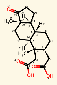 C[C@]1(CC(=O)O)[C@H](CC(=O)O)CC[C@@H]2[C@@H]1CC[C@]1(C)C(=O)CC[C@@H]21